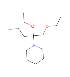 CCCC(COCC)(OCC)N1CCCCC1